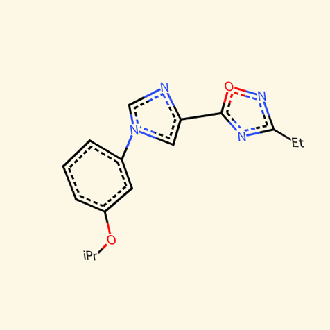 CCc1noc(-c2cn(-c3cccc(OC(C)C)c3)cn2)n1